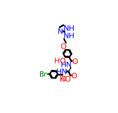 O=C(N[C@@H](CNC(=O)c1ccc(OCCNC2=NCCN2)cc1O)C(=O)O)c1ccc(Br)cc1